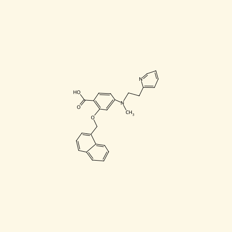 CN(CCc1ccccn1)c1ccc(C(=O)O)c(OCc2cccc3ccccc23)c1